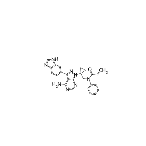 C=CC(=O)N(CC1(n2nc(-c3ccc4nc[nH]c4c3)c3c(N)ncnc32)CC1)c1ccccc1